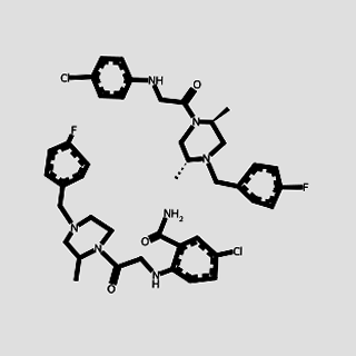 CC1CN(Cc2ccc(F)cc2)CCN1C(=O)CNc1ccc(Cl)cc1C(N)=O.C[C@@H]1CN(C(=O)CNc2ccc(Cl)cc2)[C@@H](C)CN1Cc1ccc(F)cc1